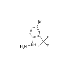 NNc1ccc(Br)cc1C(F)(F)F